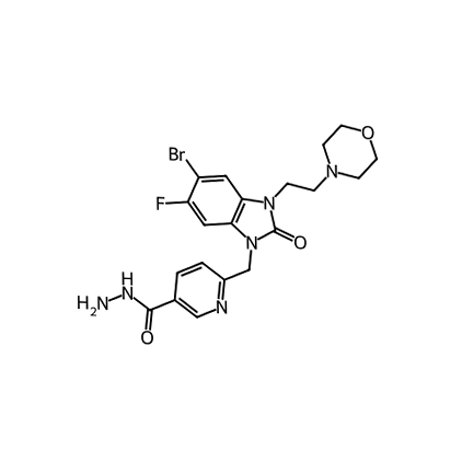 NNC(=O)c1ccc(Cn2c(=O)n(CCN3CCOCC3)c3cc(Br)c(F)cc32)nc1